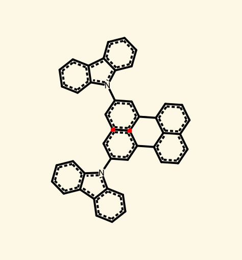 c1cc(-c2cccc3cccc(-c4cccc(-n5c6ccccc6c6ccccc65)c4)c23)cc(-n2c3ccccc3c3ccccc32)c1